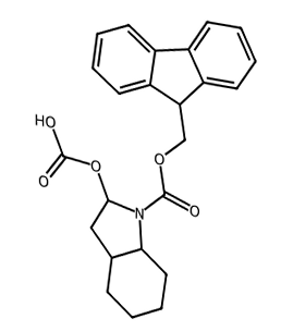 O=C(O)OC1CC2CCCCC2N1C(=O)OCC1c2ccccc2-c2ccccc21